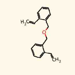 C=Cc1ccccc1COCc1ccccc1C=C